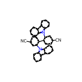 N#Cc1ccc(-c2ccc(C#N)cc2-n2c3ccccc3c3ccccc32)c(-n2c3ccccc3c3ccccc32)c1